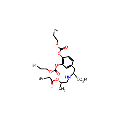 CC(C)CCOC(=O)Oc1ccc(C[C@H](NCC(C)OC(=O)CC(C)C)C(=O)O)cc1OC(=O)OCCC(C)C